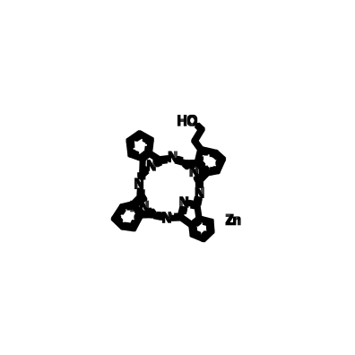 OCCc1cccc2c3nc4nc(nc5[nH]c(nc6nc(nc([nH]3)c12)-c1ccccc1-6)c1ccccc51)-c1ccccc1-4.[Zn]